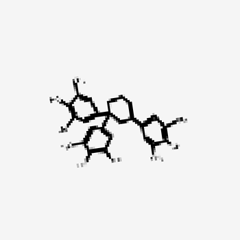 Cc1cc(C2CCCC(c3cc(C)c(O)c(C(C)(C)C)c3)(c3cc(C)c(O)c(C(C)(C)C)c3)C2)cc(C(C)(C)C)c1O